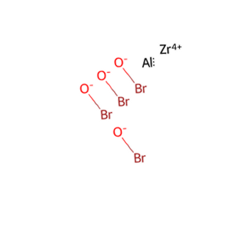 [Al].[O-]Br.[O-]Br.[O-]Br.[O-]Br.[Zr+4]